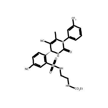 CCOC(=O)NCCNS(=O)(=O)c1cc(C#N)ccc1[C@H]1NC(=O)N(c2cccc(C(F)(F)F)c2)C(C)=C1C#N